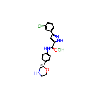 Cl.O=C(Nc1ccc([C@@H]2CNCCO2)cc1)c1cc(-c2cccc(Cl)c2)n[nH]1